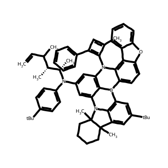 C=CC(C)[C@@H](C)[C@H](C)N(c1ccc(C(C)(C)C)cc1)c1cc2c3c(c1)N1c4c(cc(C(C)(C)C)cc4C4(C)CCCCC14C)B3c1ccc3oc4ccccc4c3c1N2C1=C(c2ccccc2)C=C1C